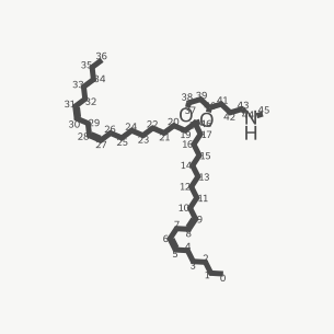 CCCCC/C=C\C/C=C\CCCCCCCCC1(CCCCCCCC/C=C\C/C=C\CCCCC)OCCC(CCCNC)O1